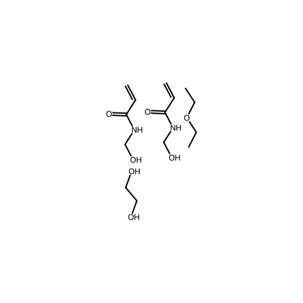 C=CC(=O)NCO.C=CC(=O)NCO.CCOCC.OCCO